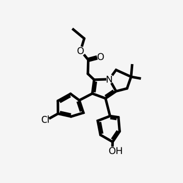 CCOC(=O)Cc1c(-c2ccc(Cl)cc2)c(-c2ccc(O)cc2)c2n1CC(C)(C)C2